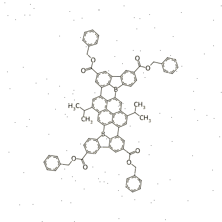 CC(C)c1cc2c3c(cc4c(C(C)C)cc5c6c(cc1c3c46)B1c3ccc(C(=O)OCc4ccccc4)cc3-c3cc(C(=O)OCc4ccccc4)cc-5c31)B1c3ccc(C(=O)OCc4ccccc4)cc3-c3cc(C(=O)OCc4ccccc4)cc-2c31